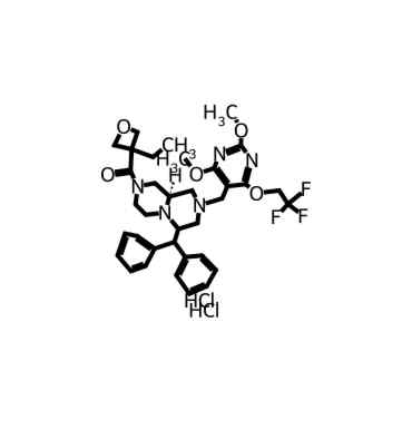 CCC1(C(=O)N2CCN3C(C(c4ccccc4)c4ccccc4)CN(Cc4c(OC)nc(OC)nc4OCC(F)(F)F)C[C@@H]3C2)COC1.Cl.Cl